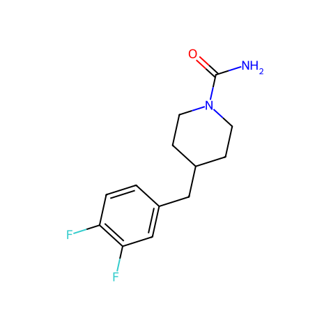 NC(=O)N1CCC(Cc2ccc(F)c(F)c2)CC1